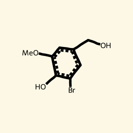 COc1cc(CO)cc(Br)c1O